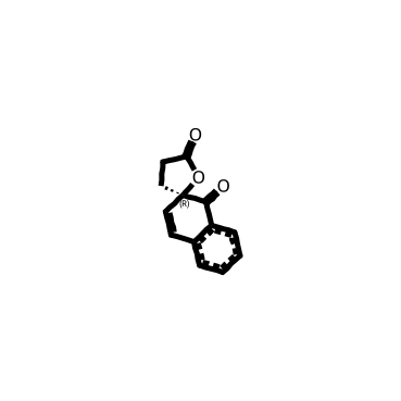 O=C1CC[C@]2(C=Cc3ccccc3C2=O)O1